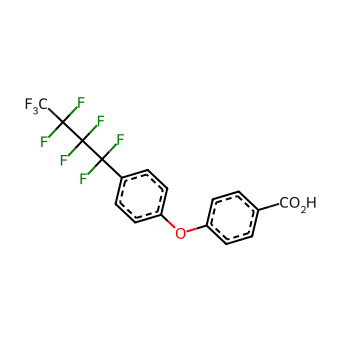 O=C(O)c1ccc(Oc2ccc(C(F)(F)C(F)(F)C(F)(F)C(F)(F)F)cc2)cc1